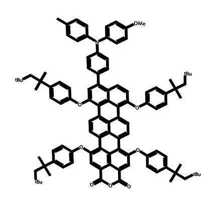 COc1ccc(N(c2ccc(C)cc2)c2ccc(-c3cc(Oc4ccc(C(C)(C)CC(C)(C)C)cc4)c4c5ccc6c7c(Oc8ccc(C(C)(C)CC(C)(C)C)cc8)cc8c9c(cc(Oc%10ccc(C(C)(C)CC(C)(C)C)cc%10)c(c%10ccc(c%11c(Oc%12ccc(C(C)(C)CC(C)(C)C)cc%12)ccc3c%114)c5c%106)c97)C(=O)OC8=O)cc2)cc1